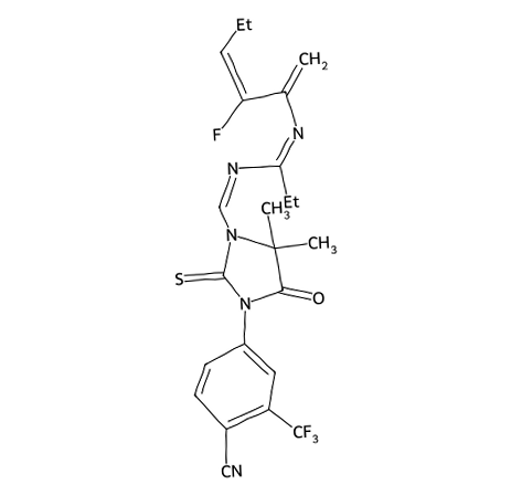 C=C(/N=C(CC)\N=C/N1C(=S)N(c2ccc(C#N)c(C(F)(F)F)c2)C(=O)C1(C)C)/C(F)=C\CC